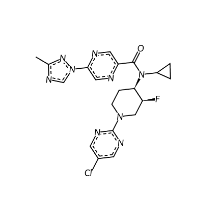 Cc1ncn(-c2cnc(C(=O)N(C3CC3)[C@@H]3CCN(c4ncc(Cl)cn4)C[C@@H]3F)cn2)n1